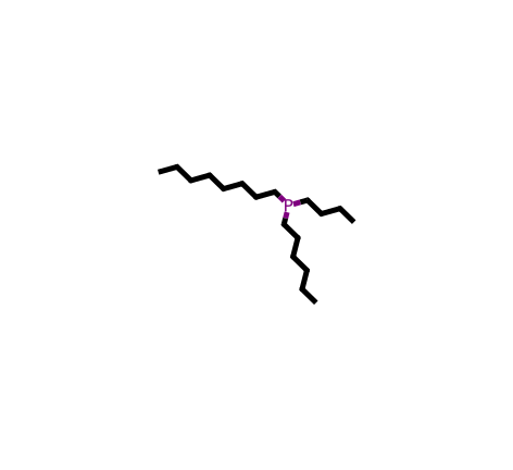 CCCCCCCCP(CCCC)CCCCCC